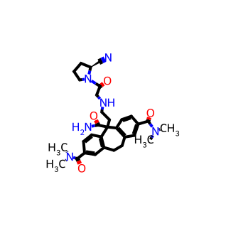 CN(C)C(=O)c1ccc2c(c1)CCc1cc(C(=O)N(C)C)ccc1C2(CCNCC(=O)N1CCC[C@H]1C#N)C(N)=O